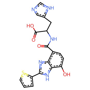 O=C(NC(Cc1cnc[nH]1)C(=O)O)c1ccc(O)c2[nH]c(-c3cccs3)nc12